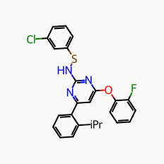 CC(C)c1ccccc1-c1cc(Oc2ccccc2F)nc(NSc2cccc(Cl)c2)n1